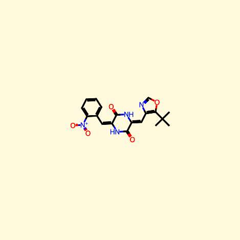 CC(C)(C)c1ocnc1C=c1[nH]c(=O)c(=Cc2ccccc2[N+](=O)[O-])[nH]c1=O